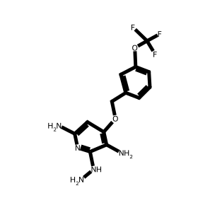 NNc1nc(N)cc(OCc2cccc(OC(F)(F)F)c2)c1N